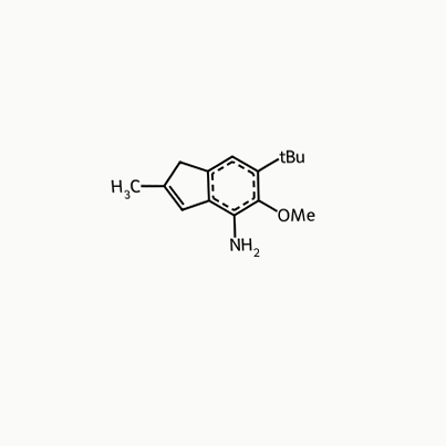 COc1c(C(C)(C)C)cc2c(c1N)C=C(C)C2